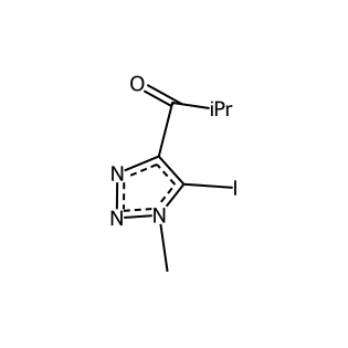 CC(C)C(=O)c1nnn(C)c1I